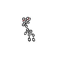 c1ccc(-c2cccc(N3c4cc(-c5ccccc5)ccc4B4c5c(cccc53)-c3cc(-c5ccc6c(c5)c5cccc7c5n6B5c6cccc(-c8ccccc8)c6N(c6ccccc6-c6ccccc6)c6cccc-7c65)cc5c6ccccc6n4c35)c2)cc1